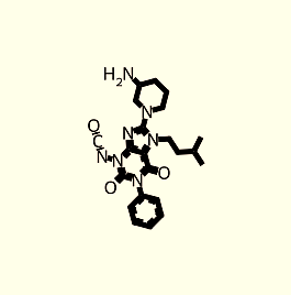 CC(C)CCn1c(N2CCCC(N)C2)nc2c1c(=O)n(-c1ccccc1)c(=O)n2N=C=O